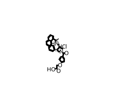 C[C@@H](NC[C@@H]1CN(C(=O)c2ccc(OCC(=O)O)cc2)C[C@@H]1c1ccccc1)c1cccc2ccccc12.Cl